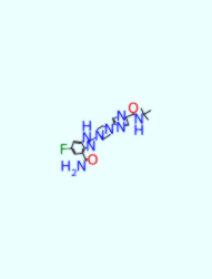 CC(C)(C)NC(=O)c1cnc(N2CCN(c3nc4c(C(N)=O)cc(F)cc4[nH]3)CC2)cn1